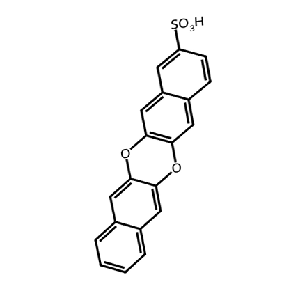 O=S(=O)(O)c1ccc2cc3c(cc2c1)Oc1cc2ccccc2cc1O3